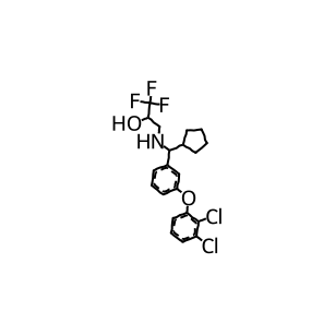 OC(CNC(c1cccc(Oc2cccc(Cl)c2Cl)c1)C1CCCC1)C(F)(F)F